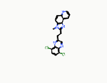 Cn1c(CCc2cnc3c(Cl)ccc(Cl)c3n2)nc2c3cccnc3ccc21